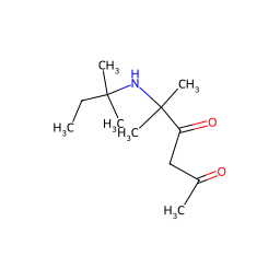 CCC(C)(C)NC(C)(C)C(=O)CC(C)=O